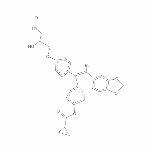 CCNCC(O)COc1ccc(C(=C(CC)c2ccc3c(c2)OCO3)c2ccc(OC(=O)C3CC3)cc2)cc1